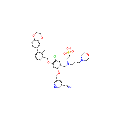 Cc1c(COc2cc(OCc3cncc(C#N)c3)c(CN(CCCN3CCOCC3)CCS(=O)(=O)O)cc2Cl)cccc1-c1ccc2c(c1)OCCO2